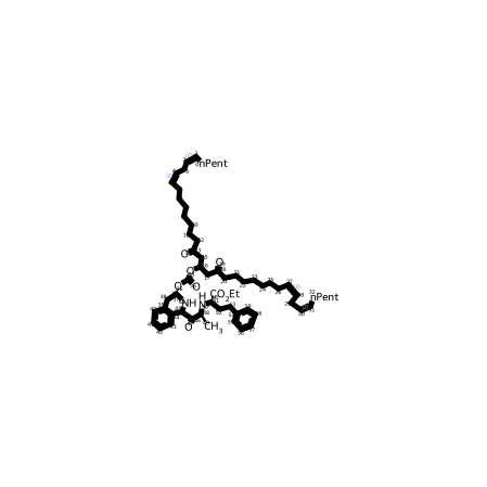 CCCCC/C=C\C/C=C\CCCCCCCC(=O)CC(CC(=O)CCCCCCC/C=C\C/C=C\CCCCC)OC(=O)O[C@H]1Cc2ccccc2C(C(=O)[C@H](C)N[C@@H](CCc2ccccc2)C(=O)OCC)N1